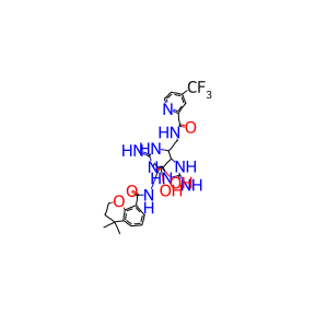 CC1(C)CCOc2c(C(=O)NC3CN4C(=N)NC(CNC(=O)c5cc(C(F)(F)F)ccn5)C5NC(=N)NC54C3(O)O)cccc21